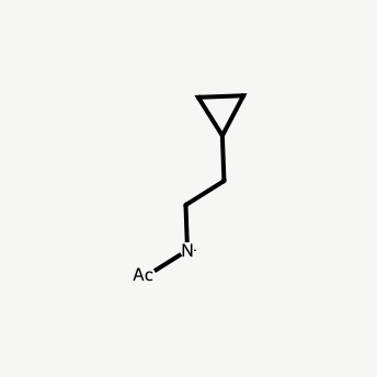 CC(=O)[N]CCC1CC1